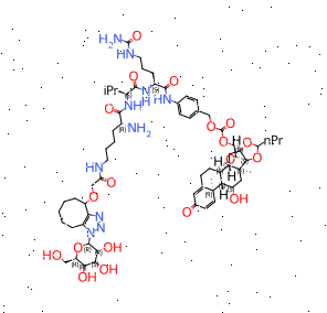 CCCC1O[C@@H]2C[C@H]3[C@@H]4CCC5=CC(=O)C=C[C@]5(C)[C@H]4[C@@H](O)C[C@]3(C)[C@]2(C(=O)COC(=O)OCc2ccc(NC(=O)[C@H](CCCNC(N)=O)NC(=O)[C@@H](NC(=O)[C@H](N)CCCCNC(=O)COC3CCCCCc4c3nnn4[C@@H]3O[C@H](CO)[C@H](O)[C@H](O)[C@H]3O)C(C)C)cc2)O1